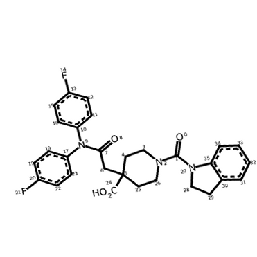 O=C(N1CCC(CC(=O)N(c2ccc(F)cc2)c2ccc(F)cc2)(C(=O)O)CC1)N1CCc2ccccc21